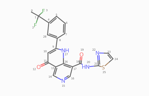 CC(F)(F)c1cccc(-c2cc(=O)c3cncc(C(=O)Nc4nccs4)c3[nH]2)c1